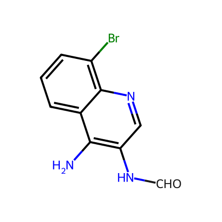 Nc1c(NC=O)cnc2c(Br)cccc12